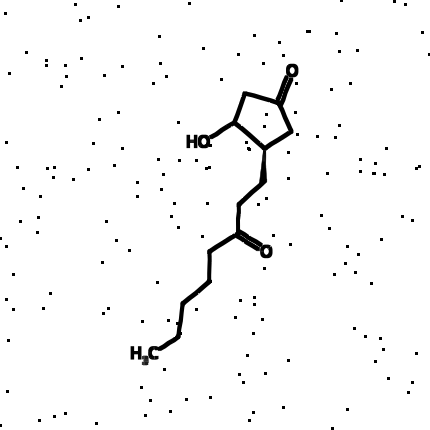 CCCCCC(=O)CC[C@@H]1CC(=O)CC1O